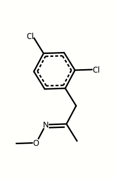 CON=C(C)Cc1ccc(Cl)cc1Cl